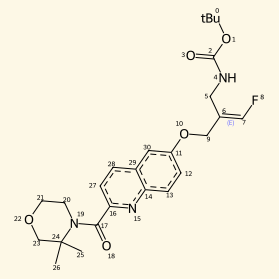 CC(C)(C)OC(=O)NC/C(=C\F)COc1ccc2nc(C(=O)N3CCOCC3(C)C)ccc2c1